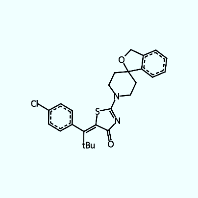 CC(C)(C)/C(=C1/SC(N2CCC3(CC2)OCc2ccccc23)=NC1=O)c1ccc(Cl)cc1